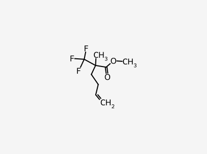 C=CCCC(C)(C(=O)OC)C(F)(F)F